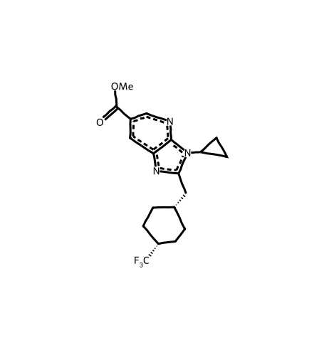 COC(=O)c1cnc2c(c1)nc(C[C@H]1CC[C@@H](C(F)(F)F)CC1)n2C1CC1